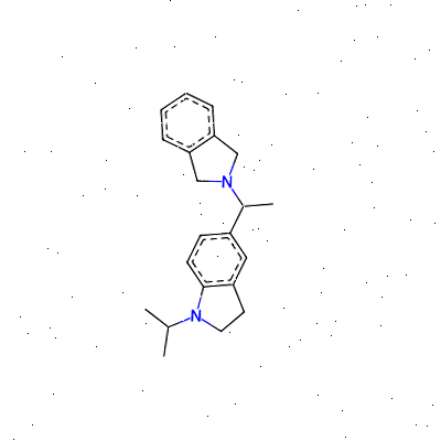 CC(c1ccc2c(c1)CCN2C(C)C)N1Cc2ccccc2C1